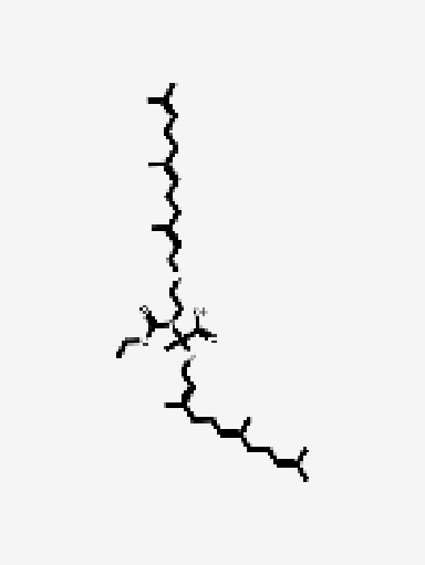 CCOC(=O)N(CCSC/C=C(\C)CC/C=C(\C)CCC=C(C)C)C(C)(SC/C=C(\C)CC/C=C(\C)CCC=C(C)C)C(=O)O